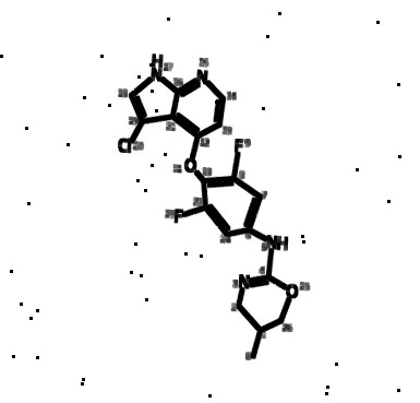 CC1CN=C(Nc2cc(F)c(Oc3ccnc4[nH]cc(Cl)c34)c(F)c2)OC1